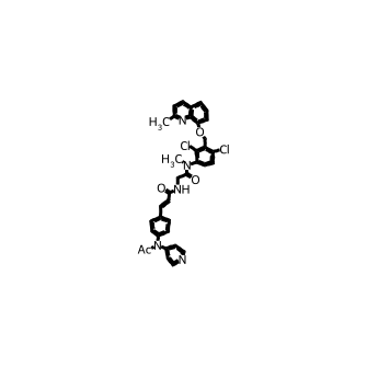 CC(=O)N(c1ccncc1)c1ccc(C=CC(=O)NCC(=O)N(C)c2ccc(Cl)c(COc3cccc4ccc(C)nc34)c2Cl)cc1